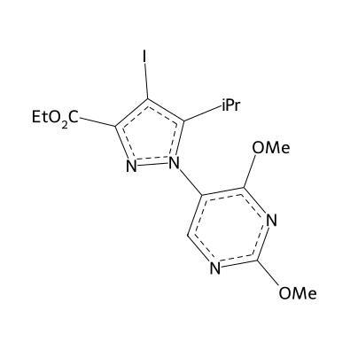 CCOC(=O)c1nn(-c2cnc(OC)nc2OC)c(C(C)C)c1I